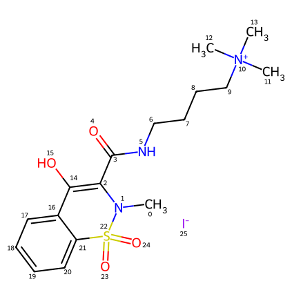 CN1C(C(=O)NCCCC[N+](C)(C)C)=C(O)c2ccccc2S1(=O)=O.[I-]